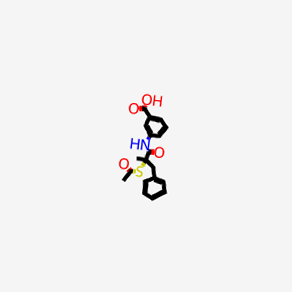 CC(=O)SC(C)(Cc1ccccc1)C(=O)Nc1cccc(C(=O)O)c1